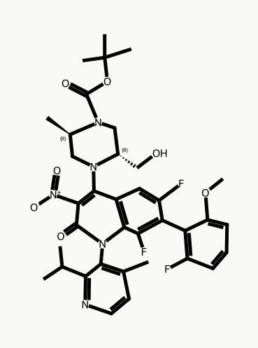 COc1cccc(F)c1-c1c(F)cc2c(N3C[C@@H](C)N(C(=O)OC(C)(C)C)C[C@@H]3CO)c([N+](=O)[O-])c(=O)n(-c3c(C)ccnc3C(C)C)c2c1F